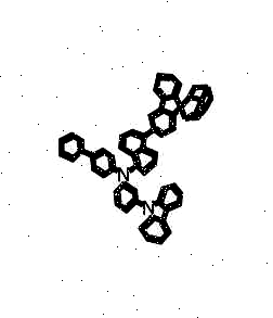 c1ccc(-c2ccc(N(c3cccc(-n4c5ccccc5c5ccccc54)c3)c3cccc4c(-c5ccc6c(c5)-c5ccccc5C65C6CC7CC(C6)CC5C7)cccc34)cc2)cc1